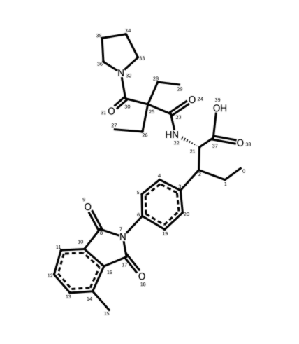 CCC(c1ccc(N2C(=O)c3cccc(C)c3C2=O)cc1)[C@H](NC(=O)C(CC)(CC)C(=O)N1CCCC1)C(=O)O